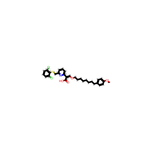 COc1ccc(CCCCCCCCOC=C(C(=O)O)c2cccc(CSc3c(Cl)cccc3Cl)n2)cc1